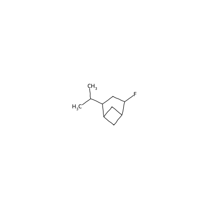 CC(C)C1CC(F)C2CC1C2